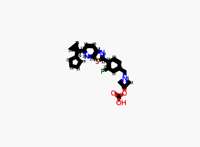 O=C(O)OC1CN(Cc2ccc(-c3nc4ccc(C5(C6CCCC6)CC5)nc4s3)c(F)c2)C1